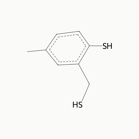 Cc1ccc(S)c(CS)c1